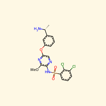 COc1nc(Oc2cccc([C@@H](C)N)c2)cnc1NS(=O)(=O)c1cccc(Cl)c1Cl